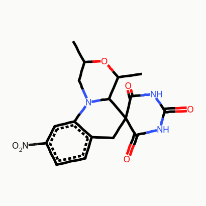 CC1CN2c3cc([N+](=O)[O-])ccc3CC3(C(=O)NC(=O)NC3=O)C2C(C)O1